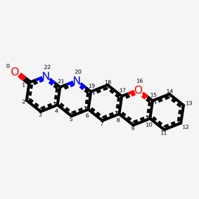 O=c1ccc2cc3cc4cc5ccccc5oc4cc3nc2n1